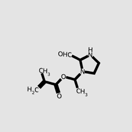 C=C(C)C(=O)OC(C)N1CCNC1C=O